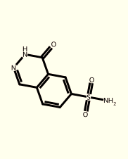 NS(=O)(=O)c1ccc2cn[nH]c(=O)c2c1